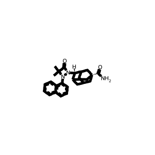 CC1(C)C(=O)N([C@H]2C3CC4CC2C[C@](C(N)=O)(C4)C3)N1c1cccc2ccccc12